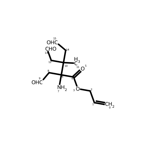 C=CCOC(=O)C(N)(CC=O)C(C)(CC=O)CC=O